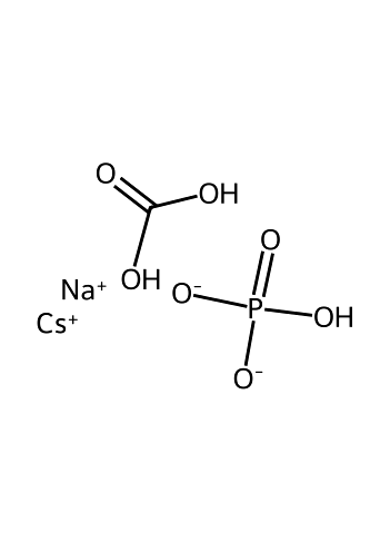 O=C(O)O.O=P([O-])([O-])O.[Cs+].[Na+]